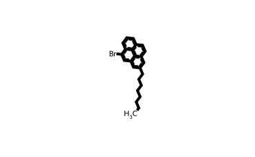 CCCCCCCCc1cc2ccc3cccc4c(Br)cc(c1)c2c34